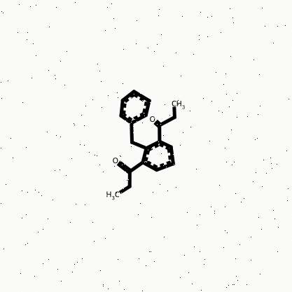 CCC(=O)c1cccc(C(=O)CC)c1Cc1ccccc1